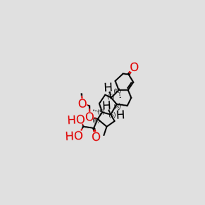 COCO[C@]1(C(=O)C(O)O)C(C)C[C@H]2[C@@H]3CCC4=CC(=O)CC[C@]4(C)[C@H]3CC[C@@]21C